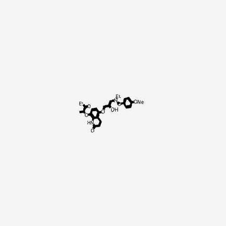 CCC(=O)C(C)Oc1ccc(OCC(O)CN(CC)Oc2ccc(OC)cc2)c2c1NC(=O)CC2